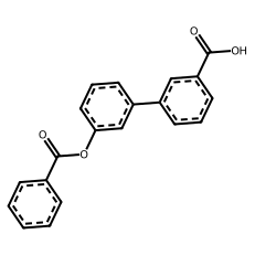 O=C(O)c1cccc(-c2cccc(OC(=O)c3ccccc3)c2)c1